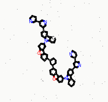 C1=CC(c2ccc3oc4ccc(-n5c6ccccc6c6cc(-c7cncc(-c8cccnc8)c7)ccc65)cc4c3c2)CC(c2ccc3oc4ccc(-n5c6ccccc6c6cc(-c7cncc(-c8cccnc8)c7)ccc65)cc4c3c2)=C1